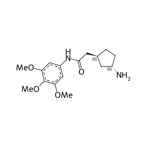 COc1cc(NC(=O)C[C@H]2CC[C@H](N)C2)cc(OC)c1OC